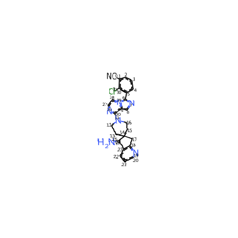 N#Cc1cccc(-c2ncc3c(N4CCC5(CC4)Cc4ncccc4[C@H]5N)nccn23)c1Cl